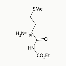 CCOC(=O)NC(=O)[C@H](N)CCSC